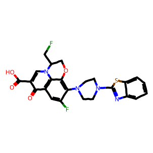 O=C(O)c1cn2c3c(c(N4CCN(c5nc6ccccc6s5)CC4)c(F)cc3c1=O)OCC2CF